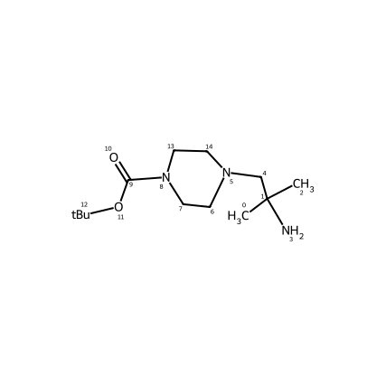 CC(C)(N)CN1CCN(C(=O)OC(C)(C)C)CC1